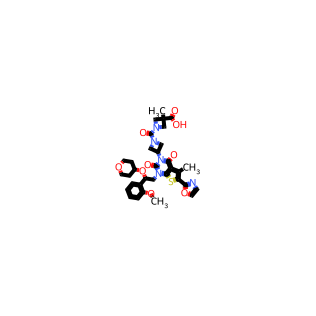 COc1ccccc1C(Cn1c(=O)n(C2CN(C(=O)N3CC(C)(C(=O)O)C3)C2)c(=O)c2c(C)c(-c3ncco3)sc21)OC1CCOCC1